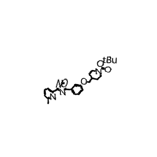 Cc1cccc(-c2noc(-c3cccc(OCC4CCN(C(=O)OC(C)(C)C)CC4)c3)n2)n1